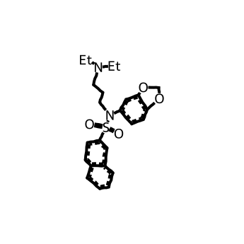 CCN(CC)CCCN(c1ccc2c(c1)OCO2)S(=O)(=O)c1ccc2ccccc2c1